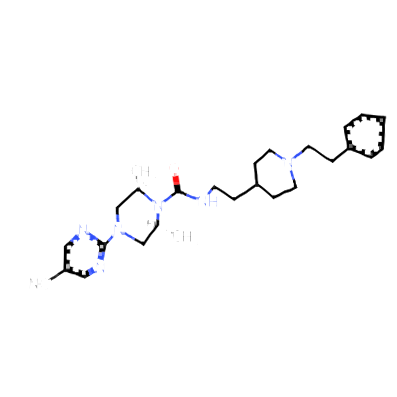 C[C@@H]1CN(c2ncc(C#N)cn2)C[C@H](C)N1C(=O)NCCC1CCN(CCc2ccccc2)CC1